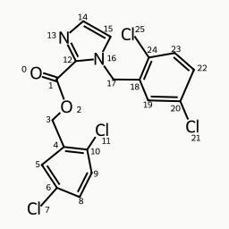 O=C(OCc1cc(Cl)ccc1Cl)c1nccn1Cc1cc(Cl)ccc1Cl